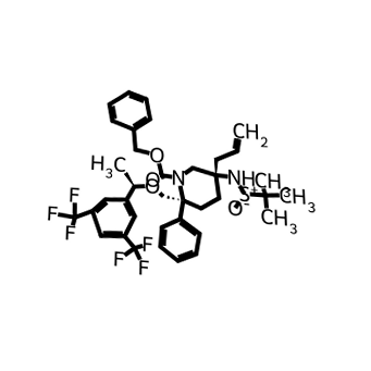 C=CC[C@@]1(N[S+]([O-])C(C)(C)C)CC[C@@](CO[C@H](C)c2cc(C(F)(F)F)cc(C(F)(F)F)c2)(c2ccccc2)N(C(=O)OCc2ccccc2)C1